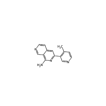 Cc1ccncc1-c1cc2ccncc2c(N)n1